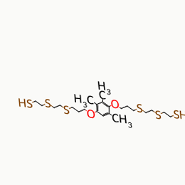 Cc1cc(OCCCSCCSCCS)c(C)c(C)c1OCCCSCCSCCS